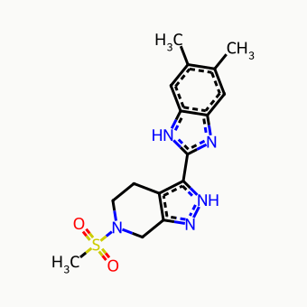 Cc1cc2nc(-c3[nH]nc4c3CCN(S(C)(=O)=O)C4)[nH]c2cc1C